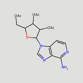 CC(=O)OCC1OC(n2cnc3c(N)nccc32)C(OC(C)=O)C1OC(C)=O